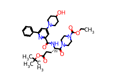 CCOC(=O)N1CCN(C(=O)[C@H](CCC(=O)OC(C)(C)C)NC(=O)c2cc(N3CCC(O)CC3)cc(-c3ccccc3)n2)CC1